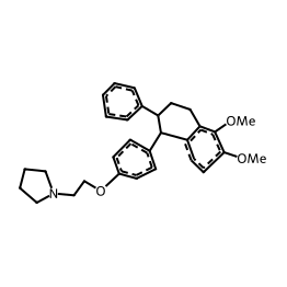 COc1ccc2c(c1OC)CCC(c1ccccc1)C2c1ccc(OCCN2CCCC2)cc1